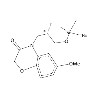 COc1ccc2c(c1)N(C[C@H](C)CO[Si](C)(C)C(C)(C)C)C(=O)CO2